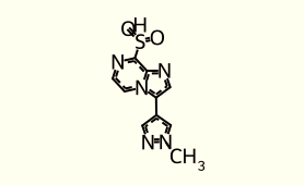 Cn1cc(-c2cnc3c([SH](=O)=O)nccn23)cn1